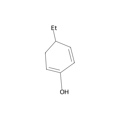 CCC1C=CC(O)=CC1